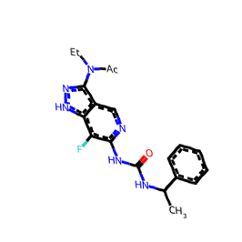 CCN(C(C)=O)c1n[nH]c2c(F)c(NC(=O)NC(C)c3ccccc3)ncc12